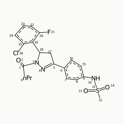 CCCC(=O)N1N=C(c2ccc(NS(C)(=O)=O)cc2)CC1c1c(F)cccc1Cl